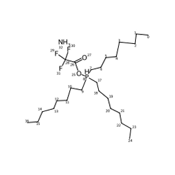 CCCCCCCC[PH](CCCCCCCC)(CCCCCCCC)OC(=O)C(F)(F)F.N